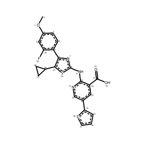 COc1ccc(-c2nc(Nc3ncc(-c4cccs4)cc3C(=O)O)sc2C2CC2)c(F)c1